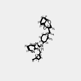 Cc1ccc(Cn2c(NC3CCCN(CC4COc5ccccc5O4)CC3)nc3cccnc32)o1